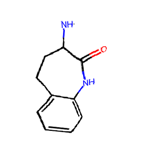 [NH]C1CCc2ccccc2NC1=O